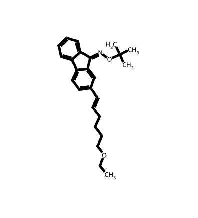 CCOCCCC/C=C/c1ccc2c(c1)/C(=N\OC(C)(C)C)c1ccccc1-2